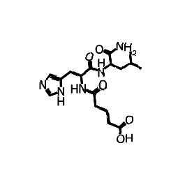 CC(C)CC(NC(=O)C(Cc1cnc[nH]1)NC(=O)CCCC(=O)O)C(N)=O